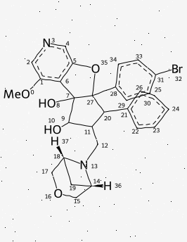 COc1cncc2c1C1(O)C(O)C(CN3[C@@H]4COC[C@H]3C4)C(c3ccccc3)C1(c1ccc(Br)cc1)O2